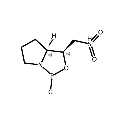 O=[SH](=O)C[C@H]1OP(Cl)N2CCC[C@@H]12